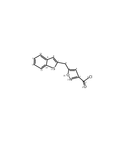 O=C(Cl)c1cc(Cc2cc3ccccc3s2)on1